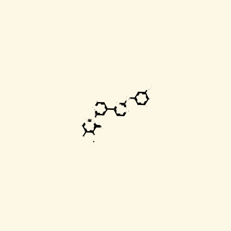 CCCCOc1c(Cl)cnn(-c2cc(-c3ccnc(Nc4cccc(Cl)c4)n3)ccn2)c1=O